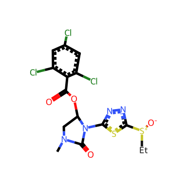 CC[S+]([O-])c1nnc(N2C(=O)N(C)CC2OC(=O)c2c(Cl)cc(Cl)cc2Cl)s1